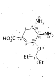 CCC(CC)O[C@@H]1C=C(C(=O)O)C[C@H](N)[C@H]1N